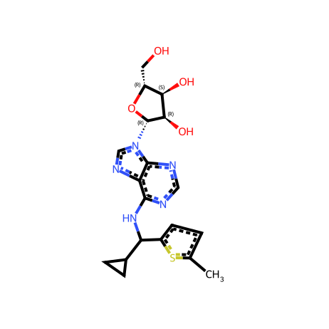 Cc1ccc(C(Nc2ncnc3c2ncn3[C@@H]2O[C@H](CO)[C@@H](O)[C@H]2O)C2CC2)s1